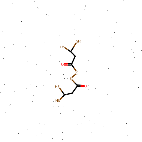 O=C(CC(S)S)SSC(=O)CC(S)S